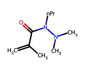 C=C(C)C(=O)N(CCC)N(C)C